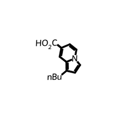 CCCCc1ccn2ccc(C(=O)O)cc12